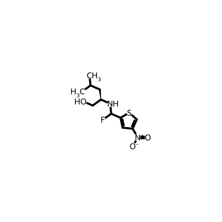 CC(C)C[C@H](CO)NC(F)c1cc([N+](=O)[O-])cs1